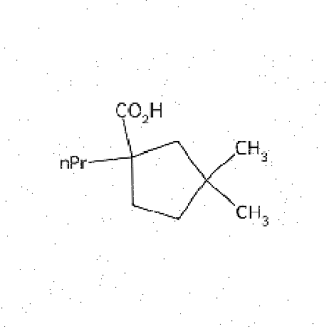 CCCC1(C(=O)O)CCC(C)(C)C1